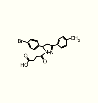 Cc1ccc(C2=NN(C(=O)CCC(=O)O)C(c3ccc(Br)cc3)C2)cc1